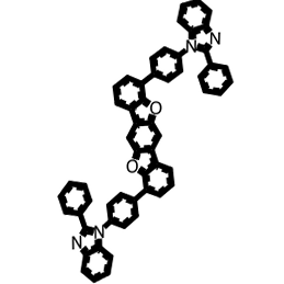 c1ccc(-c2nc3ccccc3n2-c2ccc(-c3cccc4c3oc3cc5c(cc34)oc3c(-c4ccc(-n6c(-c7ccccc7)nc7ccccc76)cc4)cccc35)cc2)cc1